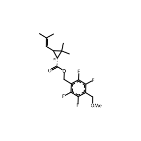 COCc1c(F)c(F)c(COC(=O)[C@@H]2C(C=C(C)C)C2(C)C)c(F)c1F